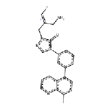 Cc1ccc(-c2cccc(-n3cnn(C/C(=C/F)CN)c3=O)c2)c2cccnc12